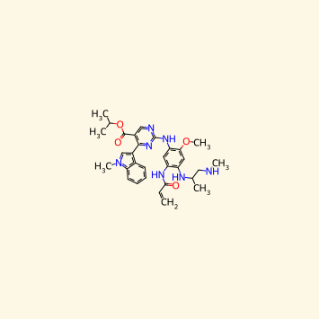 C=CC(=O)Nc1cc(Nc2ncc(C(=O)OC(C)C)c(-c3cn(C)c4ccccc34)n2)c(OC)cc1NC(C)CNC